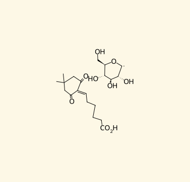 CC1(C)CC(=O)C(=CCCCCC(=O)O)C(=O)C1.OC[C@H]1O[CH][C@H](O)[C@@H](O)[C@@H]1O